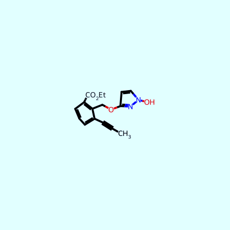 CC#Cc1cccc(C(=O)OCC)c1COc1ccn(O)n1